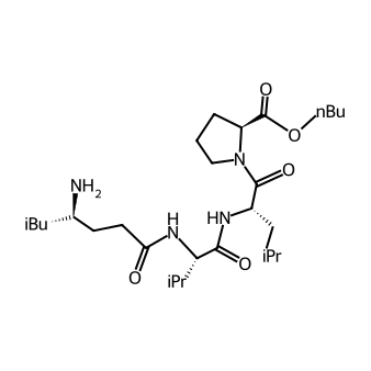 CCCCOC(=O)[C@@H]1CCCN1C(=O)[C@H](CC(C)C)NC(=O)[C@@H](NC(=O)CC[C@H](N)[C@@H](C)CC)C(C)C